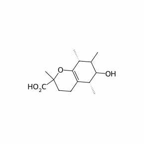 CC1C(O)[C@H](C)C2=C(OC(C)(C(=O)O)CC2)[C@@H]1C